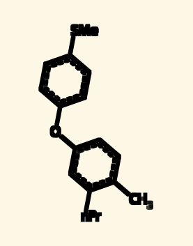 CCCc1cc(Oc2ccc(SC)cc2)ccc1C